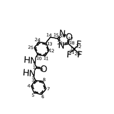 O=C(Nc1ccccc1)Nc1ccc(Cc2noc(C(F)(F)F)n2)cc1